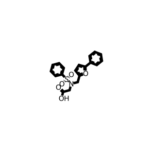 O=C(O)CN(Cc1ccc(-c2ccccc2)o1)S(=O)(=O)c1ccccc1